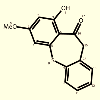 COc1cc(O)c2c(c1)Sc1ccccc1CC2=O